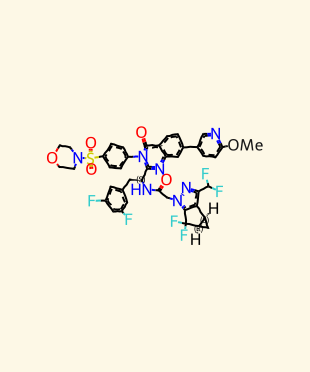 COc1ccc(-c2ccc3c(=O)n(-c4ccc(S(=O)(=O)N5CCOCC5)cc4)c([C@H](Cc4cc(F)cc(F)c4)NC(=O)Cn4nc(C(F)F)c5c4C(F)(F)[C@@H]4C[C@H]54)nc3c2)cn1